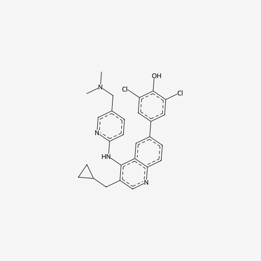 CN(C)Cc1ccc(Nc2c(CC3CC3)cnc3ccc(-c4cc(Cl)c(O)c(Cl)c4)cc23)nc1